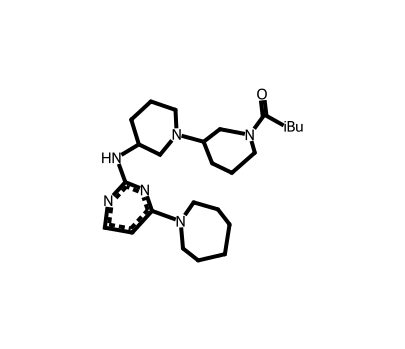 CCC(C)C(=O)N1CCCC(N2CCCC(Nc3nccc(N4CCCCCC4)n3)C2)C1